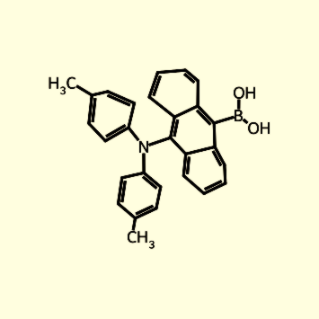 Cc1ccc(N(c2ccc(C)cc2)c2c3ccccc3c(B(O)O)c3ccccc23)cc1